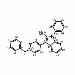 Brc1c(C2=CCN(Cc3ccccc3)C=C2)c2ccccc2n1-c1ccccc1